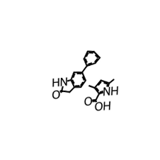 Cc1cc(C)c(C(=O)O)[nH]1.O=C1Cc2ccc(-c3ccccc3)cc2N1